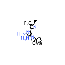 COCC1(CN(C)c2cc(-c3cnc(C4CC4)c(C(F)(F)F)c3)nc(N)c2N)CCCCC1